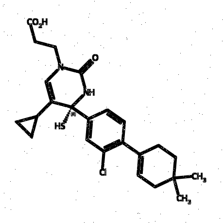 CC1(C)CC=C(c2ccc([C@]3(S)NC(=O)N(CCC(=O)O)C=C3C3CC3)cc2Cl)CC1